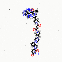 CC(C)n1nc(-c2noc(C3CC3)c2-c2ncc(C3CCN(C(=O)CCC(=O)N4CCC(CN5CCN(c6cccc7c6CCN7C6CCC(=O)NC6=O)CC5)CC4)CC3)cn2)c2c(N)ncnc21